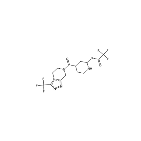 O=C(C1CCNC(OC(=O)C(F)(F)F)C1)N1CCn2c(nnc2C(F)(F)F)C1